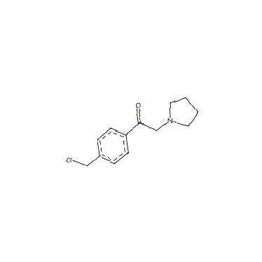 O=C(CN1CCCC1)c1ccc(CCl)cc1